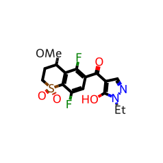 CCn1ncc(C(=O)c2cc(F)c3c(c2F)C(OC)CCS3(=O)=O)c1O